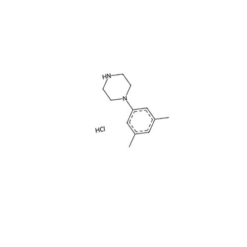 Cc1cc(C)cc(N2CCNCC2)c1.Cl